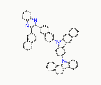 c1ccc2cc(-c3nc4ccccc4nc3-c3ccc4cc(-n5c6ccc(-n7c8ccccc8c8ccc9ccccc9c87)cc6c6cc7ccccc7cc65)ccc4c3)ccc2c1